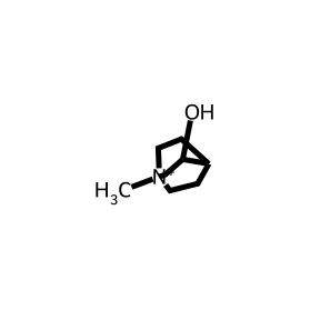 C[N+]12CCC(CC1)C(O)C2